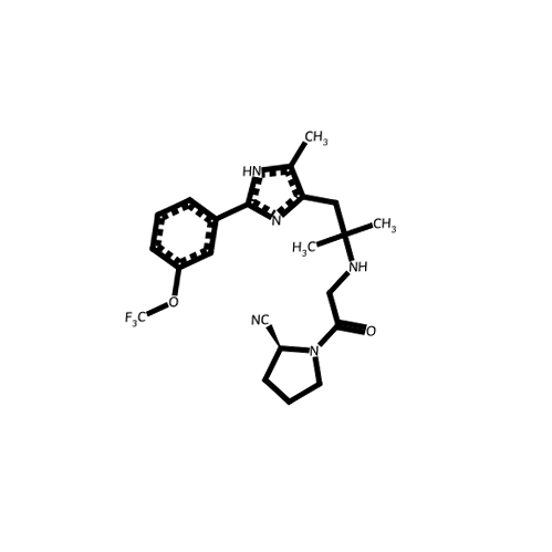 Cc1[nH]c(-c2cccc(OC(F)(F)F)c2)nc1CC(C)(C)NCC(=O)N1CCC[C@H]1C#N